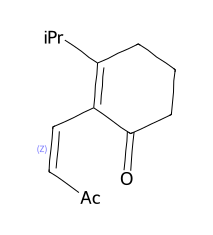 CC(=O)/C=C\C1=C(C(C)C)CCCC1=O